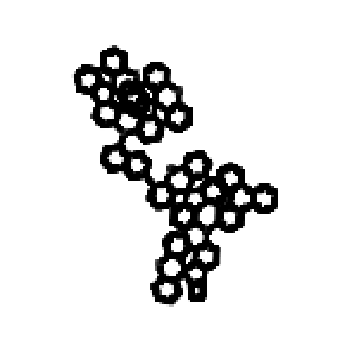 c1ccc2c(c1)Sc1ccccc1C21c2ccccc2-c2ccc(N(c3ccc4c5ccccc5c5ccccc5c4c3)c3cccc4c3-c3ccccc3C43c4ccccc4Sc4c(-c5ccc6c(N(c7ccc8c(c7)C7(c9ccccc9Sc9ccccc97)c7ccccc7-8)c7cccc8c7-c7ccccc7C87c8ccccc8Sc8ccccc87)cccc6c5)cccc43)cc21